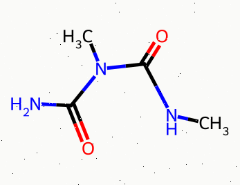 CNC(=O)N(C)C(N)=O